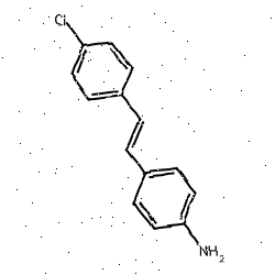 Nc1ccc(C=Cc2ccc(Cl)cc2)cc1